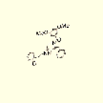 COc1cc(OC)cc(C(=O)N2CC[C@H](NCCc3ccccc3Cl)C[C@@H]2Cc2ccccc2)c1